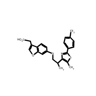 Cc1sc(-c2ccc(C(F)(F)F)cc2)nc1C(C)COc1ccc2c(CC(=O)O)coc2c1